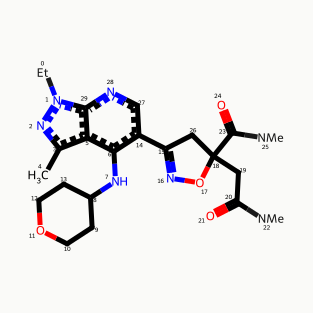 CCn1nc(C)c2c(NC3CCOCC3)c(C3=NOC(CC(=O)NC)(C(=O)NC)C3)cnc21